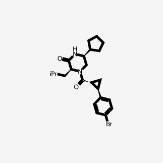 CC(C)C[C@H]1C(=O)N[C@@H](C2CCCC2)CN1C(=O)[C@@H]1C[C@H]1c1ccc(Br)cc1